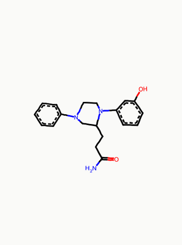 NC(=O)CCC1CN(c2ccccc2)CCN1c1cccc(O)c1